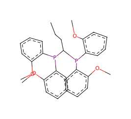 CCCC(P(c1ccccc1OC)c1ccccc1OC)P(c1ccccc1OC)c1ccccc1OC